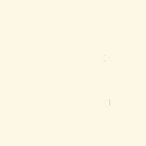 CCC1=C(C)C=CCCC1Cl